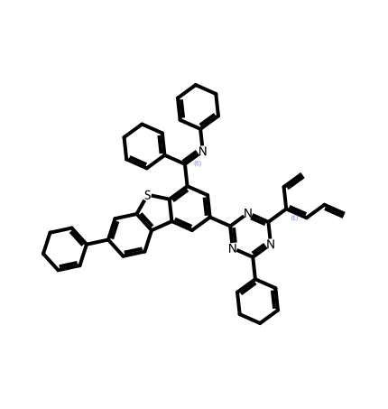 C=C/C=C(\C=C)c1nc(C2=CCCC=C2)nc(-c2cc(/C(=N/C3=CCCC=C3)C3=CCCC=C3)c3sc4cc(C5=CCCC=C5)ccc4c3c2)n1